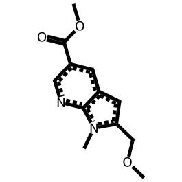 COCc1cc2cc(C(=O)OC)cnc2n1C